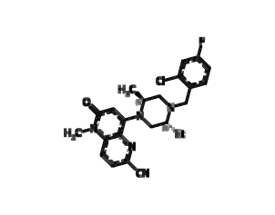 CC[C@@H]1CN(c2cc(=O)n(C)c3ccc(C#N)nc23)[C@@H](C)CN1Cc1ccc(F)cc1Cl